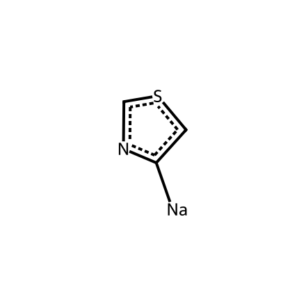 [Na][c]1cscn1